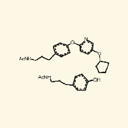 CC(=O)NCCCc1ccc(O)cc1.CC(=O)NCCCc1ccc(Oc2ccc(OC3CCCC3)cn2)cc1